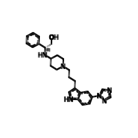 OC[C@H](NC1CCN(CCCc2c[nH]c3ccc(-n4cncn4)cc23)CC1)c1ccccc1